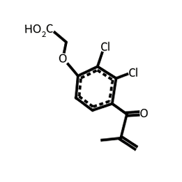 C=C(C)C(=O)c1ccc(OCC(=O)O)c(Cl)c1Cl